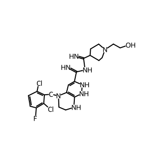 N=C(NC(=N)C1CCN(CCO)CC1)C1=CC2=C(NCCN2Cc2c(Cl)ccc(F)c2Cl)NN1